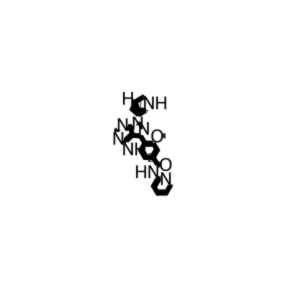 COc1cc(C(=O)Nc2ccccn2)ccc1-c1nn(C2C[C@@H]3CNC2C3)c2ncnc(N)c12